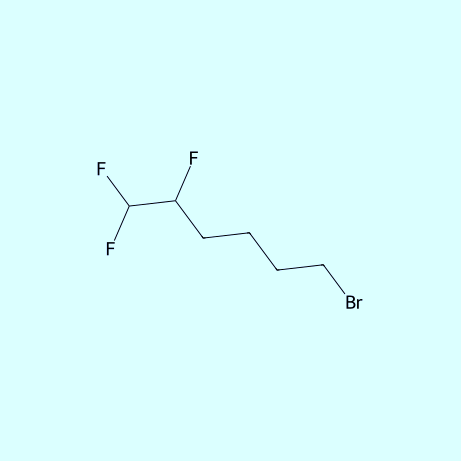 FC(F)C(F)CCCCBr